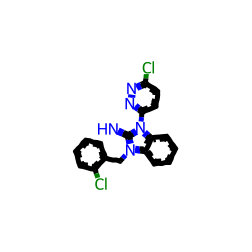 N=c1n(Cc2ccccc2Cl)c2ccccc2n1-c1ccc(Cl)nn1